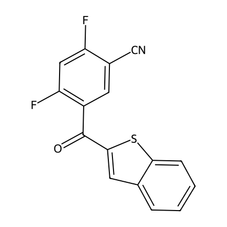 N#Cc1cc(C(=O)c2cc3ccccc3s2)c(F)cc1F